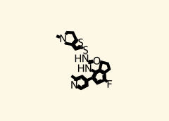 Cc1cc(-c2cc(F)c3c(c2NC(=O)NSc2cc4c(s2)CCN(C)C4)CCC3)ccn1